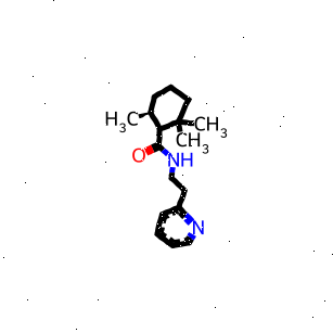 C[C@H]1CCCC(C)(C)C1C(=O)NCCc1ccccn1